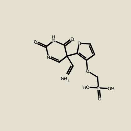 C=CC1(c2occc2OCP(=O)(O)O)C=NC(=O)NC1=O.N